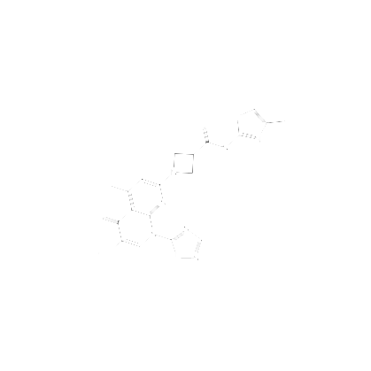 Cc1coc(NC(=O)C2CN(c3cc(C)c4c(=O)c(C(=O)O)cn(-c5ncns5)c4n3)C2)n1